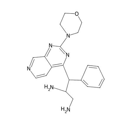 NCC(N)C(c1ccccc1)c1nc(N2CCOCC2)nc2cnccc12